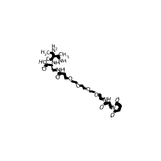 CC(=N)/C(C(=O)N[C@@H](CNC(=O)CCOCCOCCOCCOCCNC(=O)CCN1C(=O)C=CC1=O)C(=O)O)=C(/C)N